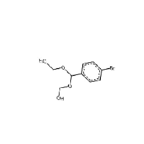 OCOC(OCO)c1ccc(Br)cc1